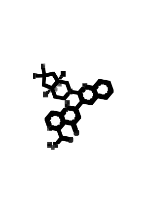 NC(=O)c1nccc2[nH]c(-c3cc4ccccc4nc3N3CC[C@H]4CC(F)(F)C[C@H]4C3)cc(=O)c12